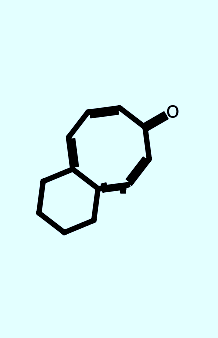 O=C1/C=C\C=C2\CCCCC23C=CC=C/C3=C/1